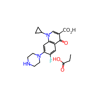 CCC(=O)O.O=C(O)c1cn(C2CC2)c2cc(N3CCNCC3)c(F)cc2c1=O